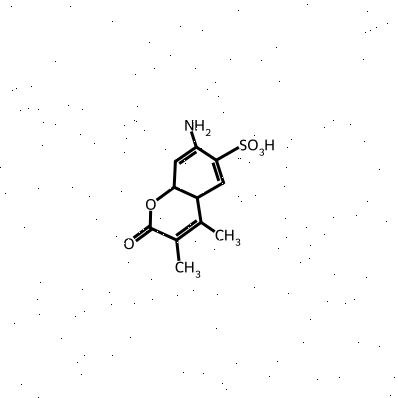 CC1=C(C)C2C=C(S(=O)(=O)O)C(N)=CC2OC1=O